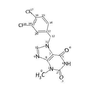 Cn1c(=O)[nH]c(=O)c2c1ncn2Cc1ccc(Cl)c(Cl)c1